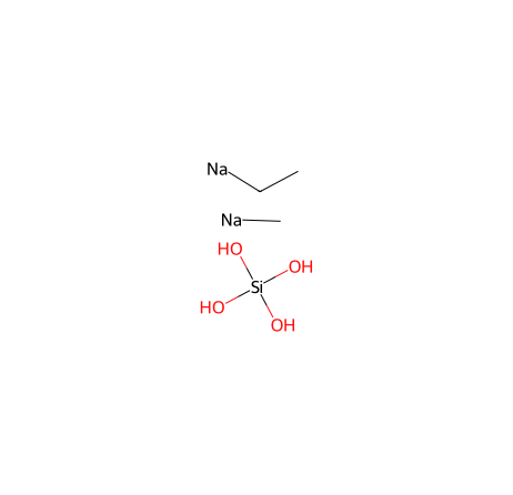 C[CH2][Na].O[Si](O)(O)O.[CH3][Na]